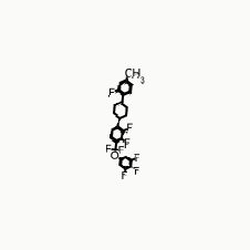 Cc1ccc(C2CCC(c3ccc(C(F)(F)Oc4cc(F)c(F)c(F)c4)c(F)c3F)CC2)c(F)c1